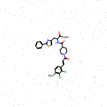 COC(=O)C(Cc1csc(-c2ccccc2)n1)NC(=O)C1CCN(C(=O)/C=C/c2ccc(SC)c(Cl)c2Cl)CC1